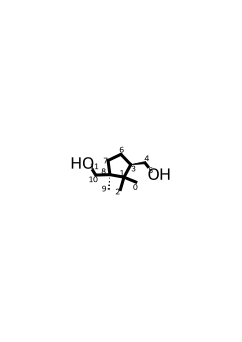 CC1(C)[C@H](CO)CC[C@]1(C)CO